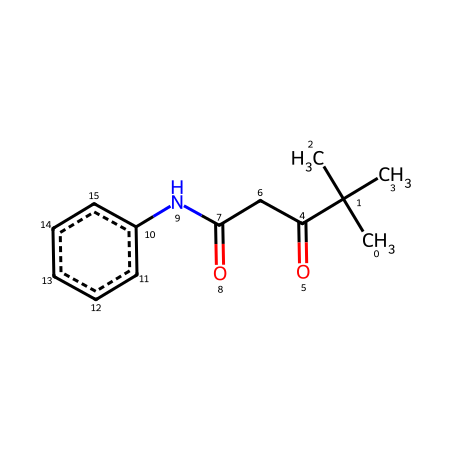 CC(C)(C)C(=O)CC(=O)Nc1ccccc1